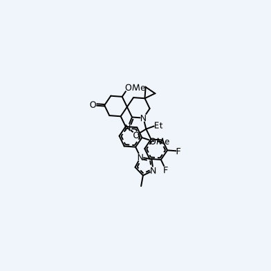 CCC1(c2ccc(F)c(F)c2)ON=C2N1CC1(CC1)CC21C(OC)CC(=O)CC1c1ccc(-n2cnc(C)c2)c(OC)c1